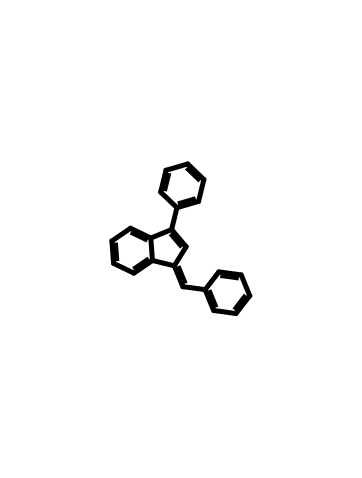 C(=C1C=C(c2ccccc2)c2ccccc21)c1ccccc1